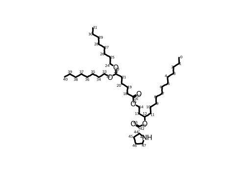 CCCCCCCCCCCCC(CCOC(=O)CCCCC(OCCCCCCCC)OCCCCCCCC)OC(=O)[C@H]1CCCN1